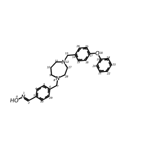 ON=Cc1ccc(CN2CCCN(Cc3ccc(Oc4ccccc4)cc3)CC2)cc1